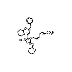 O=C(O)/C=C/C/C=C\C[C@@H]1[C@@H](/C=C/[C@H](Cc2ccccc2)OC2CCCCO2)[C@H](O)C[C@@H]1OC1CCCCO1